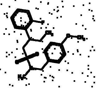 CCC(CS(=O)(=O)N(C)Cc1ccc(OC)cc1)c1ccccc1F